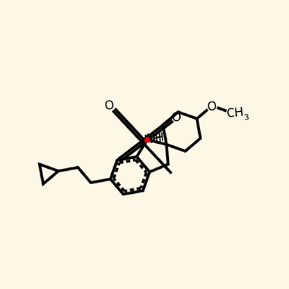 COC1CCC2(CC1)Cc1ccc(CCC3CC3)cc1C21NC(=O)NC1=O